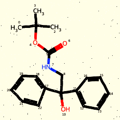 CC(C)(C)OC(=O)NCC(O)(c1ccccc1)c1ccccc1